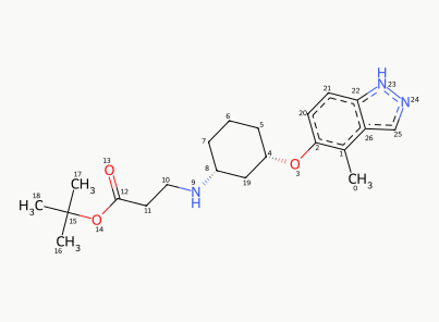 Cc1c(O[C@H]2CCC[C@@H](NCCC(=O)OC(C)(C)C)C2)ccc2[nH]ncc12